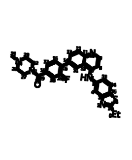 CCc1nc2cc(Nc3ccnc4ccc(-c5ccc(C(=O)N6CCN(C)CC6)cc5F)cc34)ccc2s1